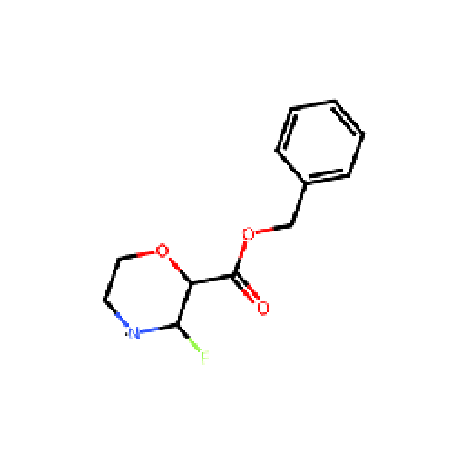 O=C(OCc1ccccc1)C1OCC[N]C1F